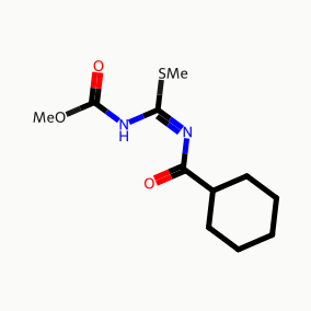 COC(=O)NC(=NC(=O)C1CCCCC1)SC